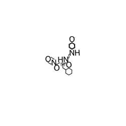 COc1ccc(NCCNC(=O)[C@@H](CC(=O)N2CCOCC2)CC2CCCCC2)cc1